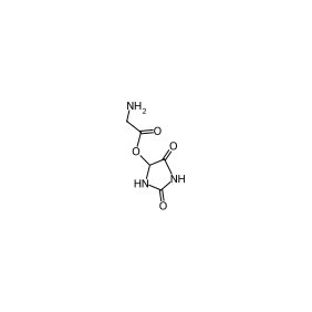 NCC(=O)OC1NC(=O)NC1=O